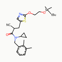 Cc1cccc(CN(C(=O)C(C#N)Cc2cnc(OCCO[Si](C)(C)C(C)(C)C)s2)C2CC2)c1C